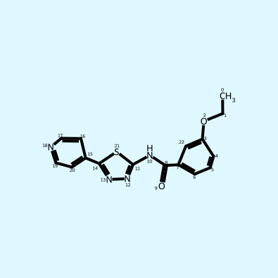 CCOc1cccc(C(=O)Nc2nnc(-c3ccncc3)s2)c1